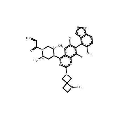 C=CC(=O)N1C[C@H](C)N(c2nc(N3CC4(CCN4C)C3)nc3c(F)c(-c4c(C)ccc5[nH]ncc45)c(Cl)cc23)C[C@H]1C